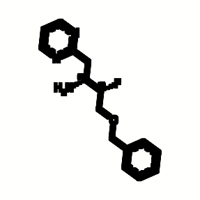 N[C@H](Cc1ncccn1)[C@H](F)COCc1ccccc1